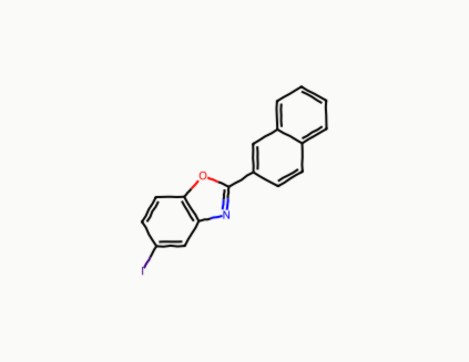 Ic1ccc2oc(-c3ccc4ccccc4c3)nc2c1